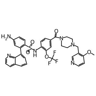 COc1ccncc1CN1CCN(C(=O)c2ccc(NS(=O)(=O)c3ccc(N)cc3-c3cccc4cccnc34)c(OC(F)(F)F)c2)CC1